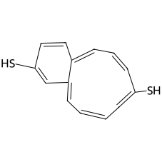 Sc1ccccc2cc(S)ccc2ccc1